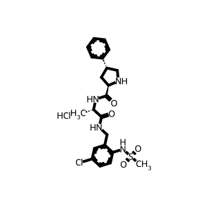 C[C@H](NC(=O)[C@H]1C[C@H](c2ccccc2)CN1)C(=O)NCc1cc(Cl)ccc1NS(C)(=O)=O.Cl